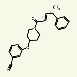 C[C@@H](/C=C/C(=O)N1CCC(Oc2cccc(C#N)c2)CC1)c1ccccc1